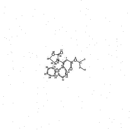 CCC(C)OC(=O)[C]=C(c1cccnc1)N1C(=O)OC[C@H]1c1ccccc1